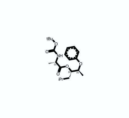 CC(C)C[C@H](OC(=O)[C@H](C)NC(=O)OC(C)(C)C)[C@H](C)Oc1ccccc1